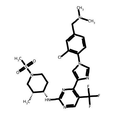 C[C@@H]1CN(S(C)(=O)=O)CC[C@@H]1Nc1ncc(C(F)(F)F)c(-c2cn(-c3ccc(CN(C)C)cc3Cl)cn2)n1